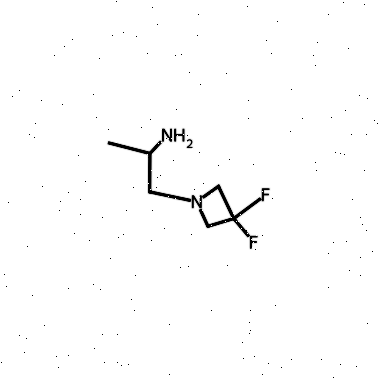 CC(N)CN1CC(F)(F)C1